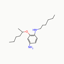 CCCCCCNc1ccc(N)cc1OC(C)CCCC